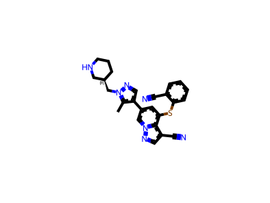 Cc1c(-c2cc(Sc3ccccc3C#N)c3c(C#N)cnn3c2)cnn1C[C@@H]1CCCNC1